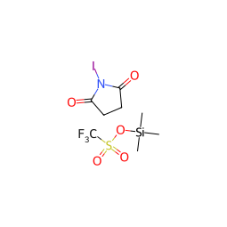 C[Si](C)(C)OS(=O)(=O)C(F)(F)F.O=C1CCC(=O)N1I